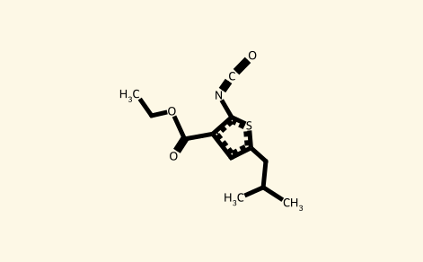 CCOC(=O)c1cc(CC(C)C)sc1N=C=O